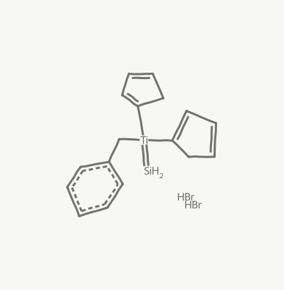 Br.Br.[SiH2]=[Ti]([CH2]c1ccccc1)([C]1=CC=CC1)[C]1=CC=CC1